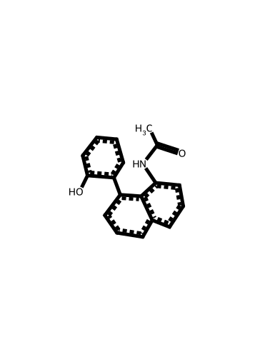 CC(=O)Nc1cccc2cccc(-c3ccccc3O)c12